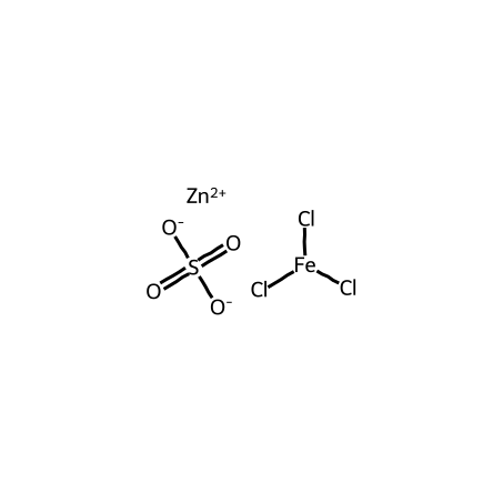 O=S(=O)([O-])[O-].[Cl][Fe]([Cl])[Cl].[Zn+2]